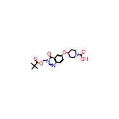 CC(C)(C)C(=O)OCn1cnc2ccc(OC3CCN(C(=O)O)CC3)cc2c1=O